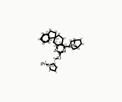 CC(C)N1CCC[C@H]1COc1nc2c(c(N3CC4CCC(C3)N4)n1)CCC1(CCc3ccccc31)C2